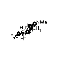 CNC1CC=C(c2cnc(N)c3c(-c4ccc(NC(=O)Nc5cccc(C(F)(F)F)c5)cc4F)nc(C)n23)CC1